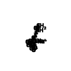 C=CC(=O)NCCCCOc1ccc2cc(S(=O)(=O)[O-])cc(S(=O)(=O)[O-])c2c1.[Na+].[Na+]